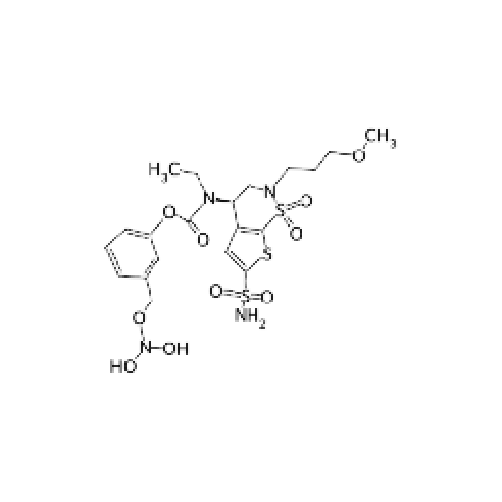 CCN(C(=O)Oc1cccc(CON(O)O)c1)[C@H]1CN(CCCOC)S(=O)(=O)c2sc(S(N)(=O)=O)cc21